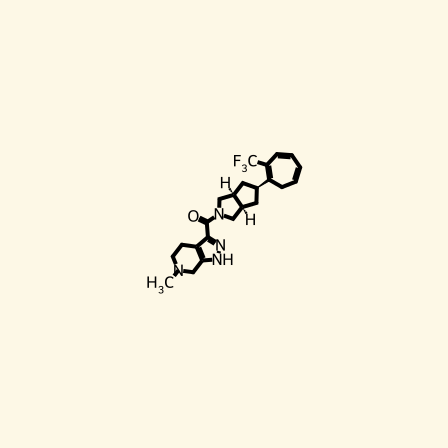 CN1CCc2c(C(=O)N3C[C@H]4C[C@@H](C5=C(C(F)(F)F)C=CC=CC5)C[C@H]4C3)n[nH]c2C1